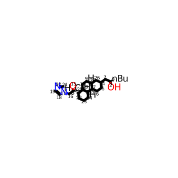 CCCC[C@@H](O)CC1CC[C@@H]2[C@H](CC[C@]3(C)[C@@H](C(=O)Cn4ccnc4)CCC[C@@H]23)C1